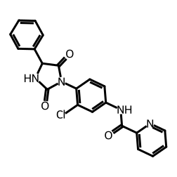 O=C(Nc1ccc(N2C(=O)NC(c3ccccc3)C2=O)c(Cl)c1)c1ccccn1